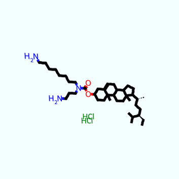 CC[C@H](CC[C@@H](C)C1CCC2C3CC=C4CC(OC(=O)N(CCCN)CCCCCCCCN)CCC4(C)C3CCC21C)C(C)C.Cl.Cl